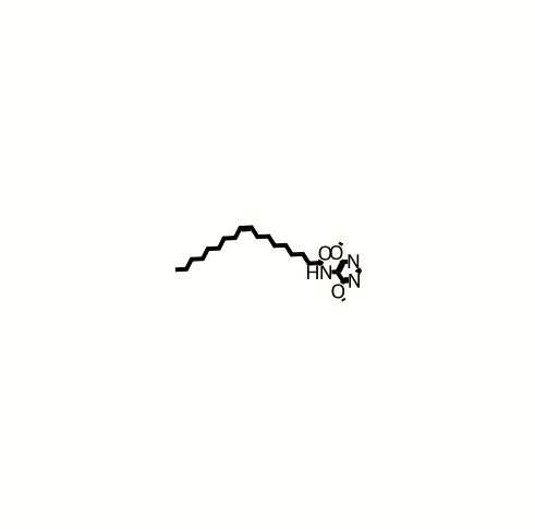 CCCCCCCC/C=C\CCCCCCCC(=O)Nc1c(OC)ncnc1OC